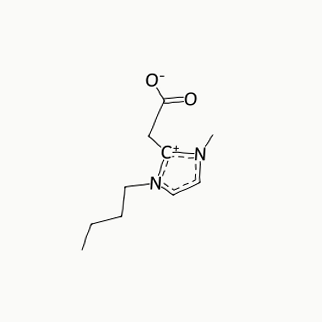 CCCCn1ccn(C)[c+]1CC(=O)[O-]